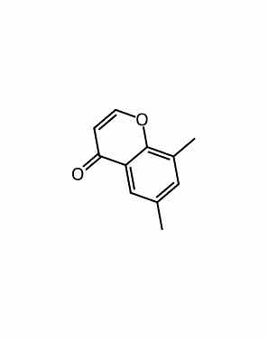 Cc1cc(C)c2occc(=O)c2c1